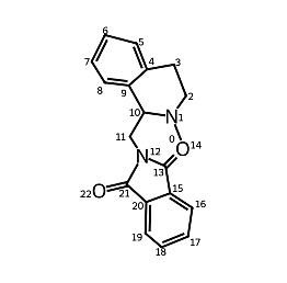 CN1CCc2ccccc2C1CN1C(=O)c2ccccc2C1=O